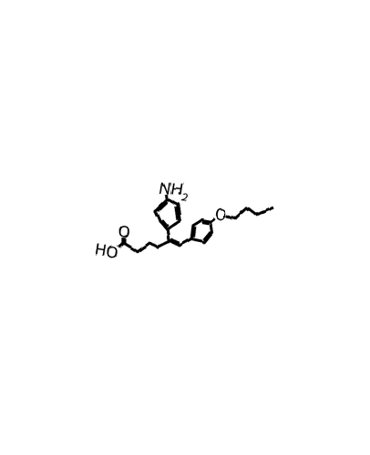 CCCCOc1ccc(C=C(CCCC(=O)O)c2ccc(N)cc2)cc1